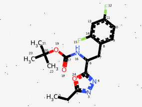 CCc1nnc(C(Cc2ccc(F)cc2F)NC(=O)OC(C)(C)C)o1